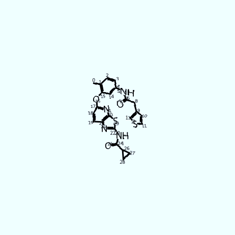 Cc1ccc(NC(=O)Cc2ccsc2)cc1Oc1ccc2nc(NC(=O)C3CC3)sc2n1